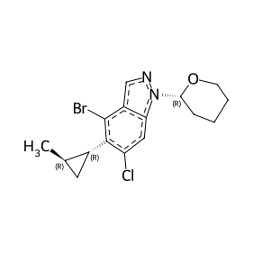 C[C@@H]1C[C@H]1c1c(Cl)cc2c(cnn2[C@H]2CCCCO2)c1Br